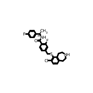 C[C@@H](NC(=O)c1ccc(CSc2c(Cl)ccc3c2CCNCC3)cc1F)c1ccc(F)cc1